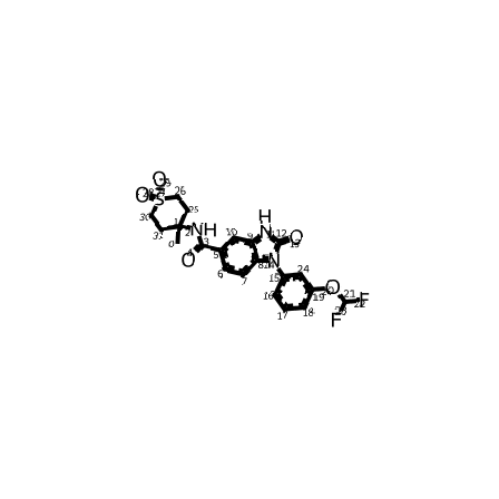 CC1(NC(=O)c2ccc3c(c2)[nH]c(=O)n3-c2cccc(OC(F)F)c2)CCS(=O)(=O)CC1